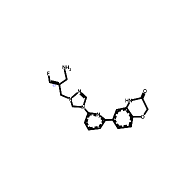 NC/C(=C\F)CN1CN(c2cccc(-c3ccc4c(c3)NC(=O)CO4)n2)C=N1